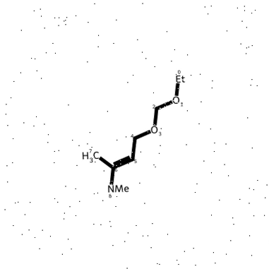 CCOCOC/C=C(\C)NC